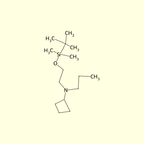 CCCN(CCO[Si](C)(C)C(C)(C)C)C1CCC1